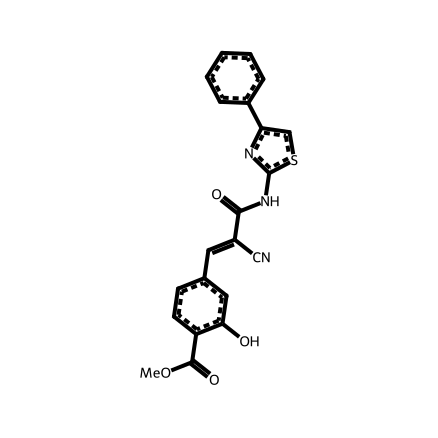 COC(=O)c1ccc(/C=C(\C#N)C(=O)Nc2nc(-c3ccccc3)cs2)cc1O